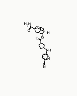 N#Cc1ccc(NC2CCN(C(=O)OC3C4CC5C[C@@H]3CC(C(N)=O)(C5)C4)C2)nn1